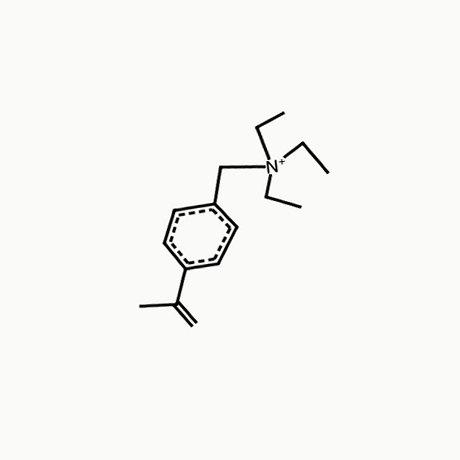 C=C(C)c1ccc(C[N+](CC)(CC)CC)cc1